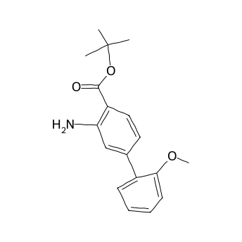 COc1ccccc1-c1ccc(C(=O)OC(C)(C)C)c(N)c1